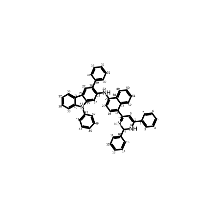 C1=C(c2ccccc2)NC(c2ccccc2)N=C1c1ccc(Nc2cc3c(cc2-c2ccccc2)c2ccccc2n3-c2ccccc2)c2ccccc12